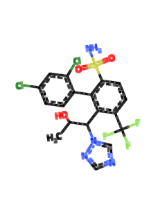 CC(O)C(c1c(C(F)(F)F)ccc(S(N)(=O)=O)c1-c1ccc(Cl)cc1Cl)n1cncn1